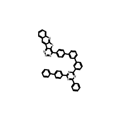 c1ccc(-c2ccc(-c3nc(-c4ccccc4)nc(-c4cccc(-c5cccc(-c6ccc(-c7nnnc8c7sc7nc9ccccc9cc78)cc6)c5)c4)n3)cc2)cc1